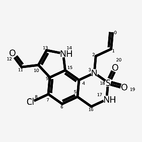 C=CCN1c2c(cc(Cl)c3c(C=O)c[nH]c23)CNS1(=O)=O